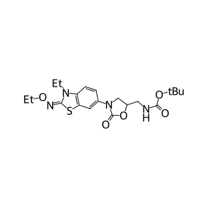 CCON=c1sc2cc(N3CC(CNC(=O)OC(C)(C)C)OC3=O)ccc2n1CC